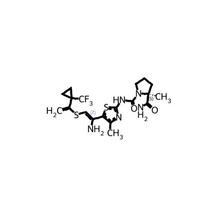 C=C(S/C=C(\N)c1sc(NC(=O)N2CCC[C@@]2(C)C(N)=O)nc1C)C1(C(F)(F)F)CC1